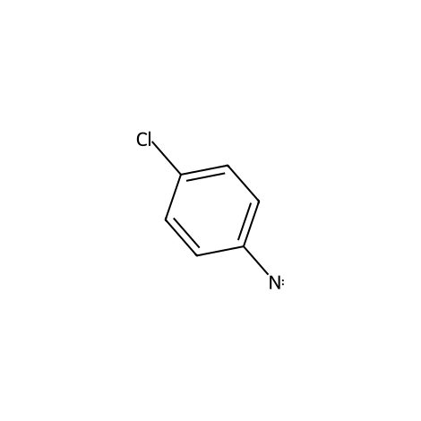 [N]c1ccc(Cl)cc1